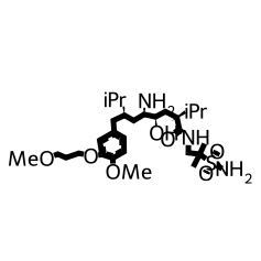 COCCCOc1cc(C[C@@H](C[C@H](N)[C@@H](O)C[C@H](C(=O)NCC(C)(C)S(N)(=O)=O)C(C)C)C(C)C)ccc1OC